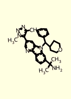 Cc1nnn(C)c1-c1cnc2c3ccc(C(C)(C)N)cc3n(C(c3ccccc3)C3CCOCC3)c2c1